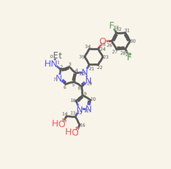 CCNc1cc2c(cn1)c(-c1cnn(C(CO)CO)c1)nn2C1CCC(Oc2cc(F)ccc2F)CC1